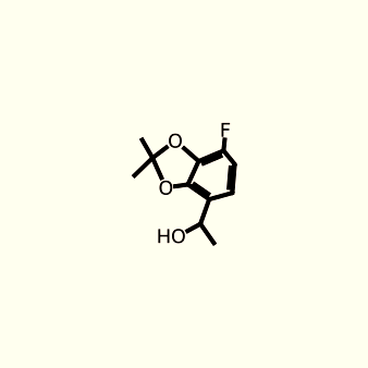 CC(O)c1ccc(F)c2c1OC(C)(C)O2